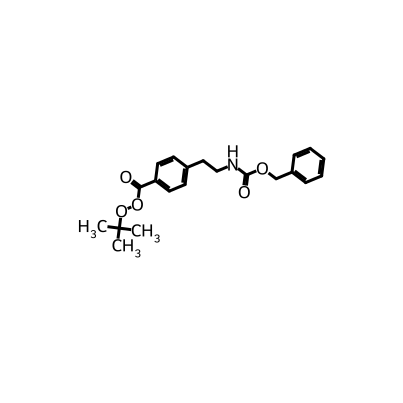 CC(C)(C)OOC(=O)c1ccc(CCNC(=O)OCc2ccccc2)cc1